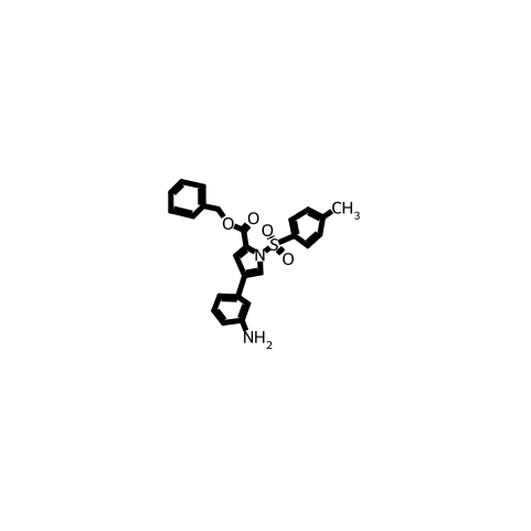 Cc1ccc(S(=O)(=O)n2cc(-c3cccc(N)c3)cc2C(=O)OCc2ccccc2)cc1